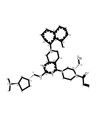 C=CC(=O)N1CCN(c2nc(OC[C@@H]3CC[C@@H](N(C)C)C3)nc3c2CCN(c2cccc4cccc(C)c24)C3)C[C@@H]1CC#N